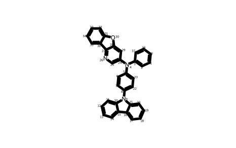 c1ccc(N(c2ccc(-n3c4ccccc4c4ccccc43)cc2)c2cnc3c(c2)oc2ccccc23)cc1